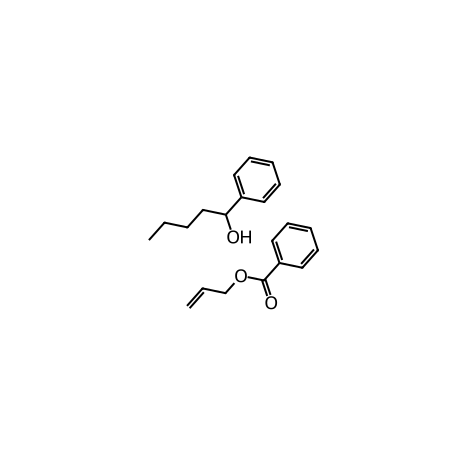 C=CCOC(=O)c1ccccc1.CCCCC(O)c1ccccc1